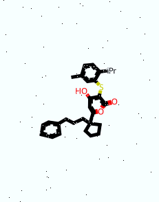 Cc1ccc(C(C)C)c(Sc2c(O)cc(C3(CCCc4ccccc4)CCCC3)oc2=O)c1